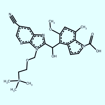 COc1cc(C)c2c(ccn2C(=O)O)c1C(O)c1nc2cc(C#N)cnc2n1COCC[Si](C)(C)C